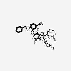 CCOC(=O)C(Oc1c(F)c(F)nc(Oc2cc(C#N)ccc2OCc2ccccc2)c1F)C(C)CC